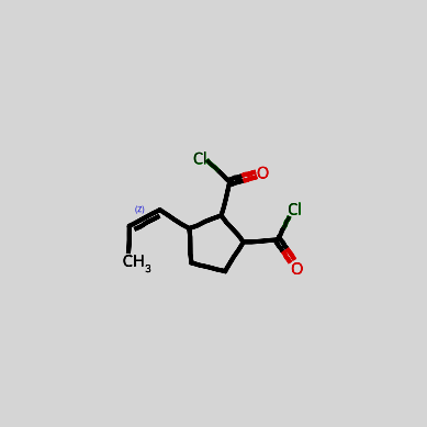 C/C=C\C1CCC(C(=O)Cl)C1C(=O)Cl